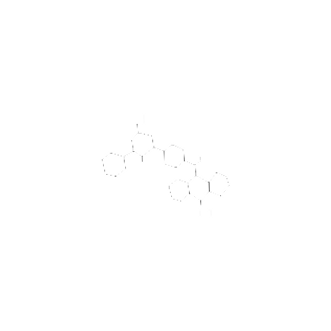 CCC1C(C2CCCCC2)CC(O)CC1C1CCC(C(C)C2C3CCCCC3C(C(C)C)C3CCCCC32)CC1